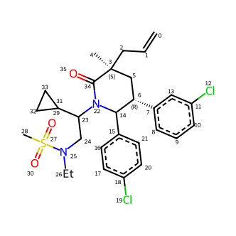 C=CC[C@@]1(C)C[C@H](c2cccc(Cl)c2)C(c2ccc(Cl)cc2)N(C(CN(CC)S(C)(=O)=O)C2CC2)C1=O